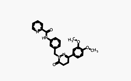 COc1ccc(C2=NN(Cc3cccc(NC(=O)c4ccccn4)c3)C(=O)CC2)cc1OC